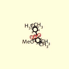 COC(=O)C1(OC(=O)C2CCC(C)(C)CC2)CCC(C)(C)CC1